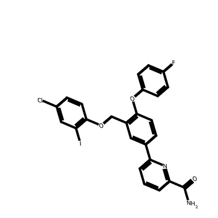 NC(=O)c1cccc(-c2ccc(Oc3ccc(F)cc3)c(COc3ccc(Cl)cc3I)c2)n1